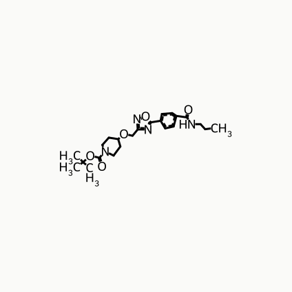 CCCNC(=O)c1ccc(-c2nc(COC3CCN(C(=O)OC(C)(C)C)CC3)no2)cc1